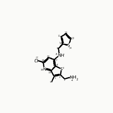 Cc1c(CN)sc2c(NCc3cccs3)cc(Cl)nc12